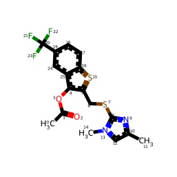 CC(=O)Oc1c(CSc2nc(C)cn2C)sc2ccc(C(F)(F)F)cc12